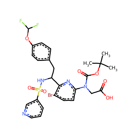 CC(C)(C)OC(=O)N(CC(=O)O)c1ccc(Br)c(C(Cc2ccc(OC(F)F)cc2)NS(=O)(=O)c2cccnc2)n1